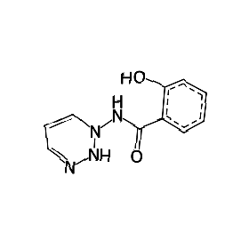 O=C(NN1C=CC=NN1)c1ccccc1O